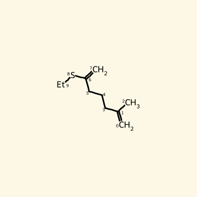 C=C(C)CCCC(=C)SCC